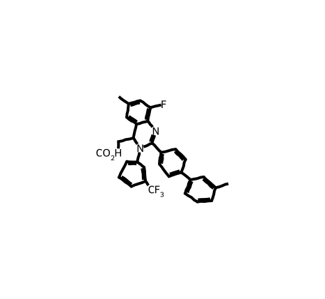 Cc1cccc(-c2ccc(C3=Nc4c(F)cc(C)cc4C(CC(=O)O)N3c3cccc(C(F)(F)F)c3)cc2)c1